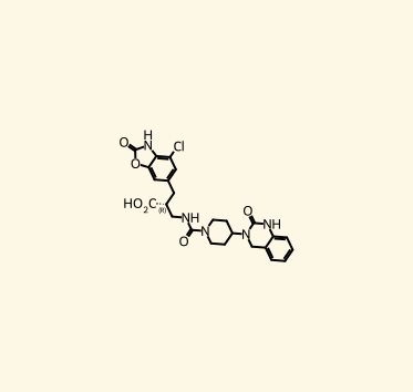 O=C(O)[C@@H](CNC(=O)N1CCC(N2Cc3ccccc3NC2=O)CC1)Cc1cc(Cl)c2[nH]c(=O)oc2c1